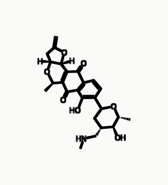 C=C1C[C@H]2O[C@H](C)C3=C(C(=O)c4ccc(C5C[C@@H](CNC)[C@H](O)[C@@H](C)O5)c(O)c4C3=O)[C@H]2O1